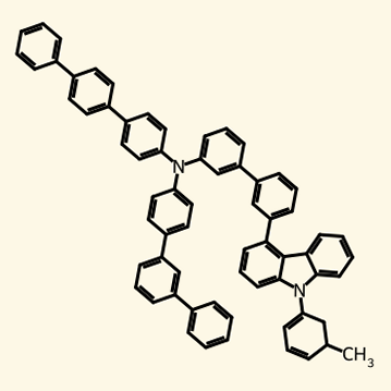 CC1C=CC=C(n2c3ccccc3c3c(-c4cccc(-c5cccc(N(c6ccc(-c7ccc(-c8ccccc8)cc7)cc6)c6ccc(-c7cccc(-c8ccccc8)c7)cc6)c5)c4)cccc32)C1